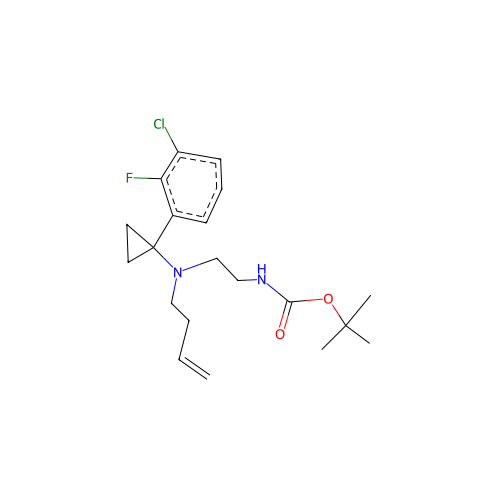 C=CCCN(CCNC(=O)OC(C)(C)C)C1(c2cccc(Cl)c2F)CC1